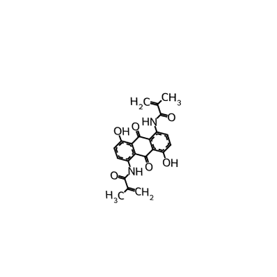 C=C(C)C(=O)Nc1ccc(O)c2c1C(=O)c1c(O)ccc(NC(=O)C(=C)C)c1C2=O